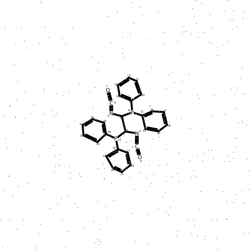 O=C=NC(C(N=C=O)P(c1ccccc1)c1ccccc1)P(c1ccccc1)c1ccccc1